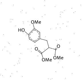 COC(=O)C(Cc1ccc(O)c(OC)c1)C(=O)OC